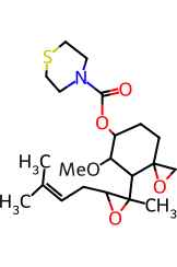 COC1C(OC(=O)N2CCSCC2)CCC2(CO2)C1C1(C)OC1CC=C(C)C